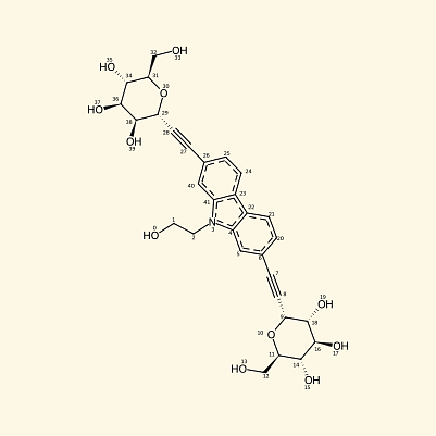 OCCn1c2cc(C#C[C@H]3O[C@H](CO)[C@@H](O)[C@H](O)[C@H]3O)ccc2c2ccc(C#C[C@H]3O[C@H](CO)[C@@H](O)[C@H](O)[C@@H]3O)cc21